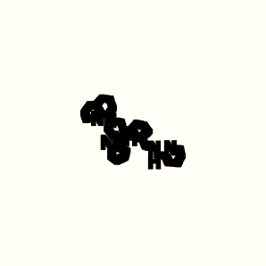 c1ccc(CNCc2cccc(CCN(Cc3nc4ccccc4[nH]3)C3CCCc4cccnc43)c2)nc1